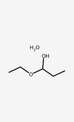 CCOC(O)CC.O